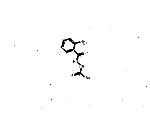 CC(C)(C)C(=O)NNC(=O)c1ccccc1N